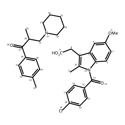 COc1ccc2c(c1)c(CC(=O)O)c(C)n2C(=O)c1ccc(Cl)cc1.Cc1ccc(C(=O)C(C)CN2CCCCC2)cc1